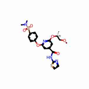 COC[C@@H](C)Oc1cc(C(=O)Nc2nccs2)cc(Oc2ccc(S(=O)(=O)N(C)C)cc2)n1